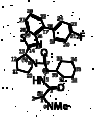 CN[C@@H](C)C(=O)N[C@H](C(=O)N1CCC[C@H]1c1nc2c(-c3ccc(F)cc3)cccc2s1)C1CCCCC1